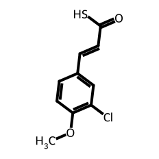 COc1ccc(/C=C/C(=O)S)cc1Cl